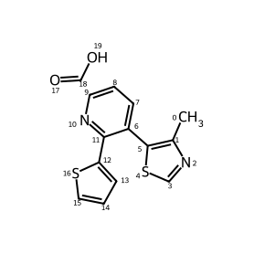 Cc1ncsc1-c1cccnc1-c1cccs1.O=CO